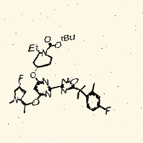 CC[C@@H]1C[C@@H](Oc2cc(O[C@@H](C)[C@@H]3C[C@@H](F)CN3C)nc(-c3noc(C(C)(C)c4ccc(F)cc4C)n3)n2)CCN1C(=O)OC(C)(C)C